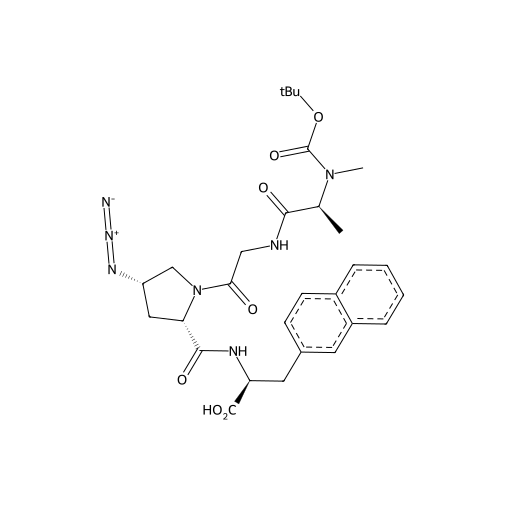 C[C@@H](C(=O)NCC(=O)N1C[C@@H](N=[N+]=[N-])C[C@H]1C(=O)N[C@@H](Cc1ccc2ccccc2c1)C(=O)O)N(C)C(=O)OC(C)(C)C